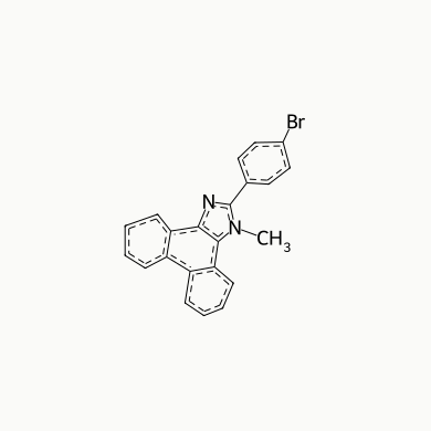 Cn1c(-c2ccc(Br)cc2)nc2c3ccccc3c3ccccc3c21